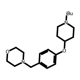 CCC(C)N1CCC(Oc2ccc(CN3CCOCC3)cc2)CC1